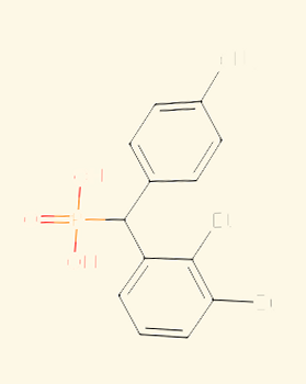 CCc1cccc(C(c2ccc(C)cc2)P(=O)(O)O)c1CC